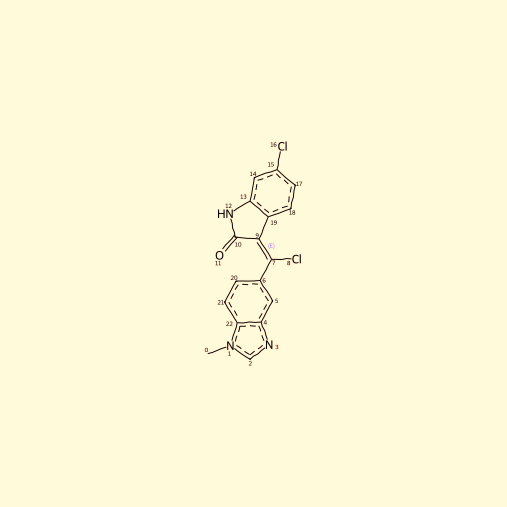 Cn1cnc2cc(/C(Cl)=C3\C(=O)Nc4cc(Cl)ccc43)ccc21